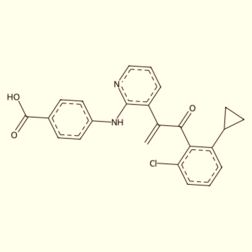 C=C(C(=O)c1c(Cl)cccc1C1CC1)c1cccnc1Nc1ccc(C(=O)O)cc1